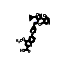 COc1cc(C(=O)O)nc2ccc(N3CC4C(/C=C/c5c(-c6c(Cl)cncc6Cl)noc5C5CC5)C4C3)cc12